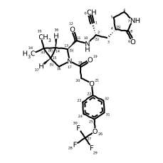 C#C[C@H](C[C@@H]1CCNC1=O)NC(=O)[C@@H]1[C@@H]2[C@H](CN1C(=O)COc1ccc(OC(F)(F)F)cc1)C2(C)C